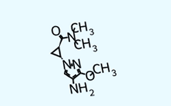 COc1nn([C@@H]2C[C@H]2C(=O)N(C)C)cc1N